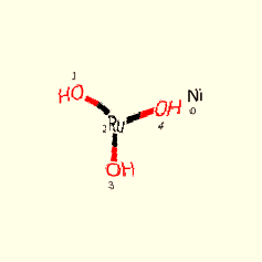 [Ni].[OH][Ru]([OH])[OH]